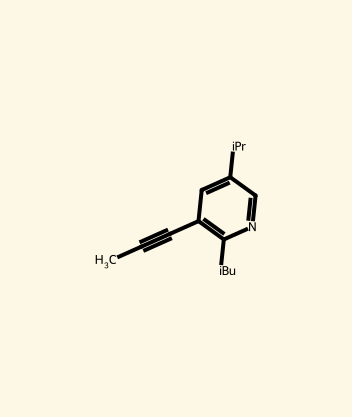 CC#Cc1cc(C(C)C)cnc1C(C)CC